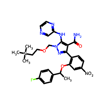 CC(Oc1cc([N+](=O)[O-])ccc1-c1nn(COCC[Si](C)(C)C)c(Nc2cnccn2)c1C(N)=O)c1ccc(F)cc1